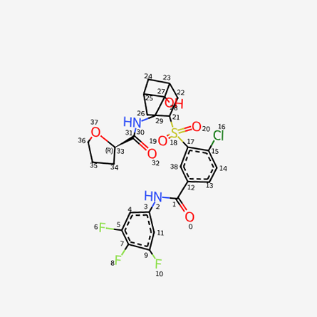 O=C(Nc1cc(F)c(F)c(F)c1)c1ccc(Cl)c(S(=O)(=O)C2CC3CC(C2)C3(O)CNC(=O)[C@H]2CCCO2)c1